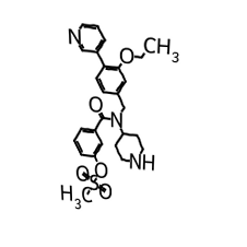 CCOc1cc(CN(C(=O)c2cccc(OS(C)(=O)=O)c2)C2CCNCC2)ccc1-c1cccnc1